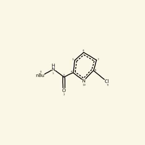 CCCCNC(=O)c1cccc(Cl)n1